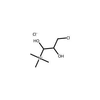 C[N+](C)(C)C(O)C(O)CCl.[Cl-]